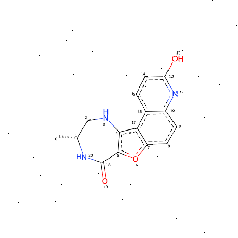 C[C@@H]1CNc2c(oc3ccc4nc(O)ccc4c23)C(=O)N1